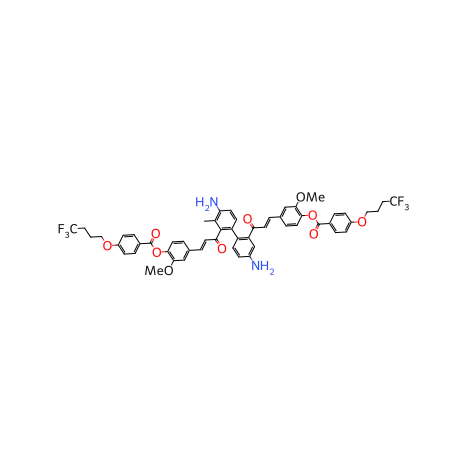 COc1cc(C=CC(=O)c2cc(N)ccc2-c2ccc(N)c(C)c2C(=O)C=Cc2ccc(OC(=O)c3ccc(OCCCC(F)(F)F)cc3)c(OC)c2)ccc1OC(=O)c1ccc(OCCCC(F)(F)F)cc1